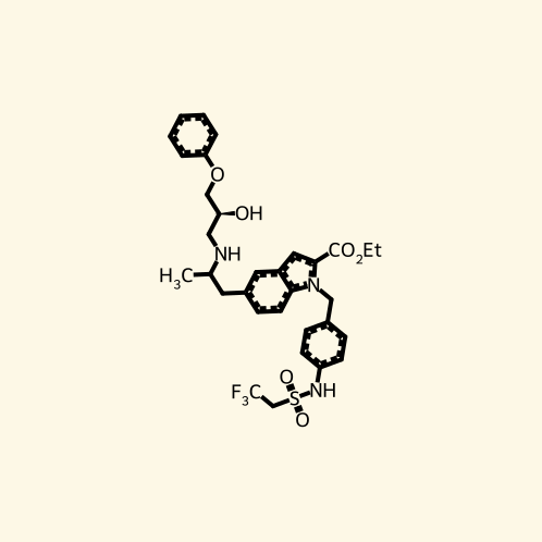 CCOC(=O)c1cc2cc(CC(C)NC[C@H](O)COc3ccccc3)ccc2n1Cc1ccc(NS(=O)(=O)CC(F)(F)F)cc1